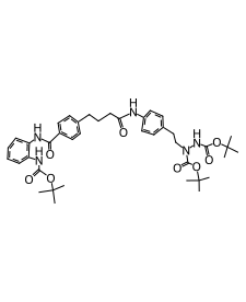 CC(C)(C)OC(=O)Nc1ccccc1NC(=O)c1ccc(CCCC(=O)Nc2ccc(CCN(NC(=O)OC(C)(C)C)C(=O)OC(C)(C)C)cc2)cc1